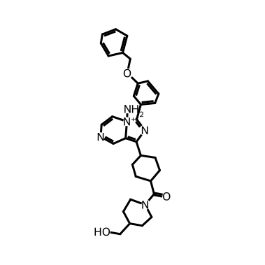 N[N+]12C=CN=CC1=C(C1CCC(C(=O)N3CCC(CO)CC3)CC1)N=C2c1cccc(OCc2ccccc2)c1